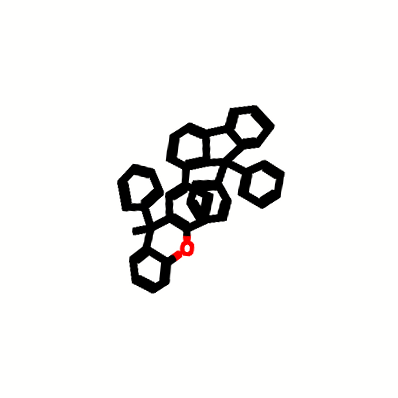 CC1(c2ccccc2)c2ccccc2Oc2ccc(-c3cccc4c3C(c3ccccc3)(c3ccccc3)c3ccccc3-4)cc21